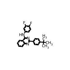 CC(C)(C)c1ccc(-c2nc(Nc3ccc(F)c(F)c3)c3ccccc3n2)cc1